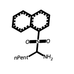 CCCCCC(N)S(=O)(=O)c1cccc2ccccc12